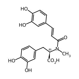 CN(C(=O)C=Cc1ccc(O)c(O)c1)[C@H](Cc1ccc(O)c(O)c1)C(=O)O